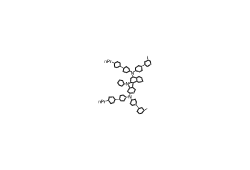 CCCc1ccc(-c2ccc(N(c3ccc(-c4cccc(C)c4)cc3)c3ccc4c5c6ccccc6c(N(c6ccc(-c7ccc(CCC)cc7)cc6)c6ccc(-c7cccc(C)c7)cc6)cc5n(-c5ccccc5)c4c3)cc2)cc1